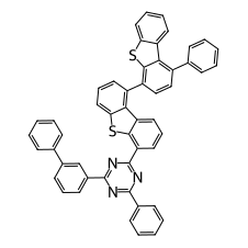 c1ccc(-c2cccc(-c3nc(-c4ccccc4)nc(-c4cccc5c4sc4cccc(-c6ccc(-c7ccccc7)c7c6sc6ccccc67)c45)n3)c2)cc1